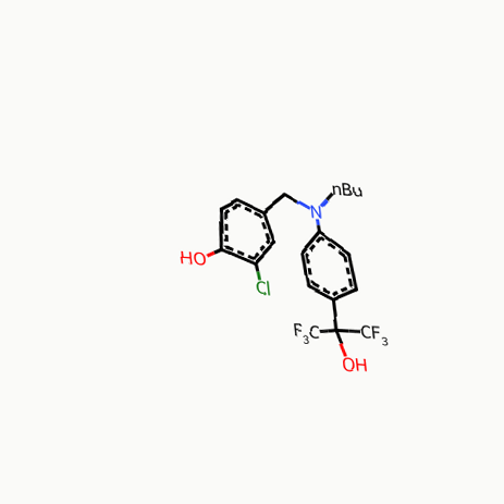 CCCCN(Cc1ccc(O)c(Cl)c1)c1ccc(C(O)(C(F)(F)F)C(F)(F)F)cc1